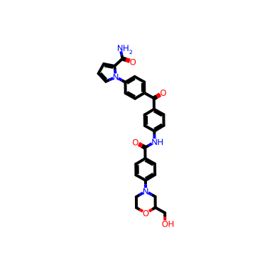 NC(=O)c1cccn1-c1ccc(C(=O)c2ccc(NC(=O)c3ccc(N4CCOC(CO)C4)cc3)cc2)cc1